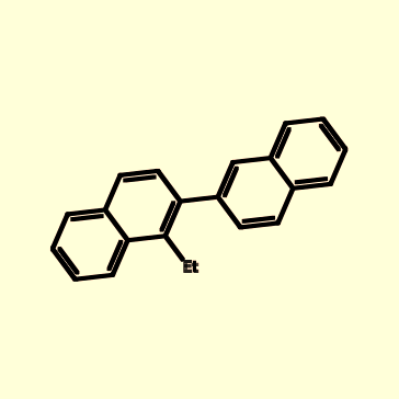 CCc1c(-c2ccc3ccccc3c2)ccc2ccccc12